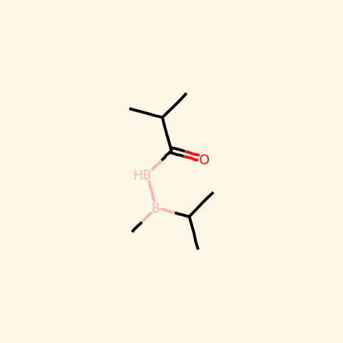 CB(BC(=O)C(C)C)C(C)C